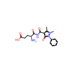 Cc1c(C(=O)NC(=O)[C@@H](N)CCC(=O)O)c(=O)n(-c2ccccc2)n1C